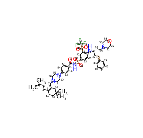 C=C(C)CCC1=C(CN2CCN(c3ccc(C(=O)NS(=O)(=O)c4ccc(N[C@H](CCN5CCOCC5)CSc5ccccc5)c(S(=O)(=O)C(F)(F)F)c4)cc3)CC2)CC(C)(C)CC1